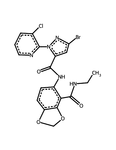 CCNC(=O)c1c(NC(=O)c2cc(Br)nn2-c2ncccc2Cl)ccc2c1OCO2